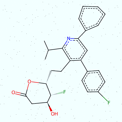 CC(C)c1nc(-c2ccccc2)cc(-c2ccc(F)cc2)c1CC[C@H]1OC(=O)C[C@H](O)[C@H]1F